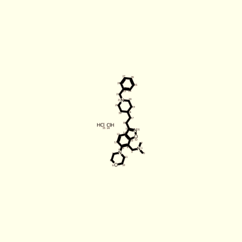 CN(C)Cc1c(N2CCOCC2)ccc2c(CCC3CCN(Cc4ccccc4)CC3)noc12.Cl.Cl